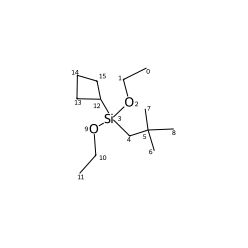 CCO[Si](CC(C)(C)C)(OCC)C1CCC1